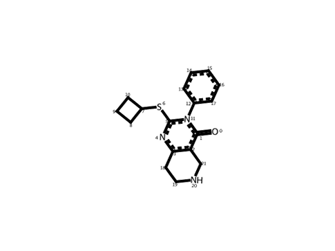 O=c1c2c(nc(SC3CCC3)n1-c1ccccc1)CCNC2